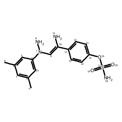 Cc1cc(C)cc(N(N)/C=C(\N)c2ccc(OS(N)(=O)=O)cc2)c1